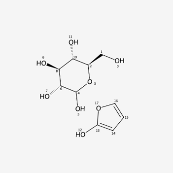 OC[C@H]1OC(O)[C@H](O)[C@@H](O)[C@@H]1O.Oc1ccco1